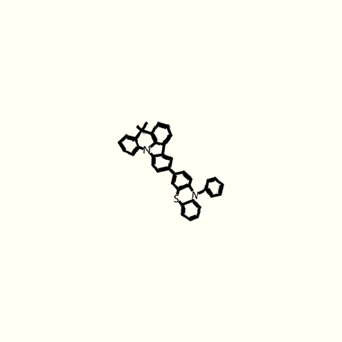 CC1(C)c2ccccc2-n2c3ccc(-c4ccc5c(c4)Sc4ccccc4N5c4ccccc4)cc3c3cccc1c32